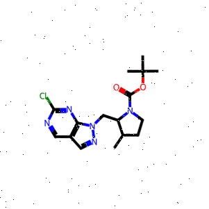 CC1CCN(C(=O)OC(C)(C)C)C1Cn1ncc2cnc(Cl)nc21